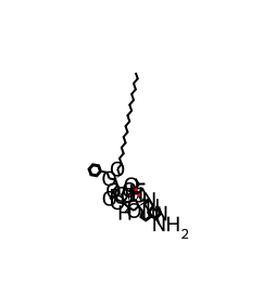 CCCCCCCCCCCCCCCCCCOC[C@H](COP(=O)(O)OC1[C@H]2O[C@@](C#N)(c3ccc4c(N)ncnn34)[C@H](OC(=O)C(C)C)[C@@]12OC(=O)C(C)C)OCc1ccccc1